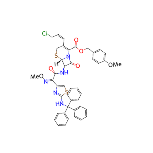 CO/N=C(\C(=O)N[C@@H]1C(=O)N2C(C(=O)OCc3ccc(OC)cc3)=C(/C=C\CCl)CS[C@@H]12)c1csc(NC(c2ccccc2)(c2ccccc2)c2ccccc2)n1